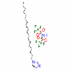 CCCCCCCCCCCCCCCCCCn1ccnc1.O=S(=O)(NS(=O)(=O)C(F)(F)F)C(F)(F)F